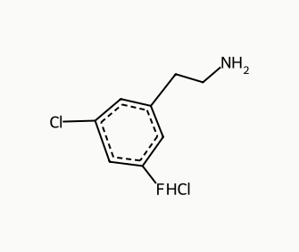 Cl.NCCc1cc(F)cc(Cl)c1